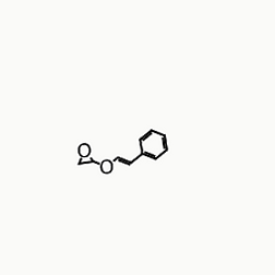 C(=Cc1ccccc1)OC1CO1